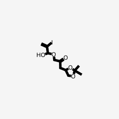 C=C(I)C(O)OCC(=O)CC1COC(C)(C)O1